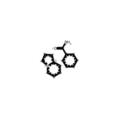 NC(=O)c1ccccc1.c1ccn2cccc2c1